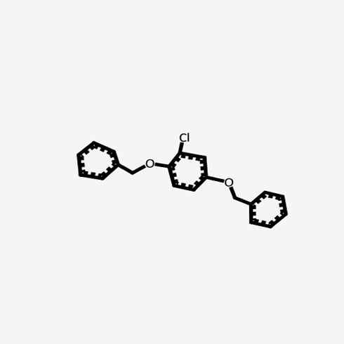 Clc1cc(OCc2ccccc2)ccc1OCc1ccccc1